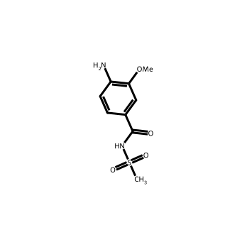 COc1cc(C(=O)NS(C)(=O)=O)ccc1N